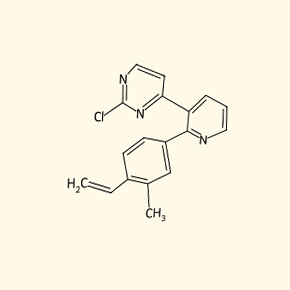 C=Cc1ccc(-c2ncccc2-c2ccnc(Cl)n2)cc1C